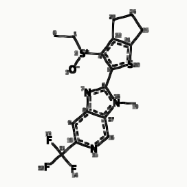 CC[S+]([O-])c1c(-c2nc3cc(C(F)(F)F)ncc3n2C)sc2c1CCC2